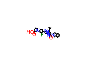 C[C@@H]1c2ccccc2CCN1C(=O)c1cc(C2CC2)n2nc(-c3ccc(N4CCCC(C(=O)O)C4)cc3F)cc2n1